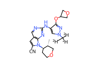 [2H]C([2H])([2H])n1cc(Nc2ncc3cc(C#N)n([C@@H]4CCOC[C@H]4C)c3n2)c(OC2COC2)n1